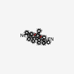 N#Cc1cccc2c1oc1c(N(c3ccccc3)c3cc4c(c5ccccc35)-c3c(cc(N(c5ccccc5)c5cccc6c5oc5c(C#N)cccc56)c5ccccc35)C43c4ccccc4N(c4ccccc4)c4ccccc43)cccc12